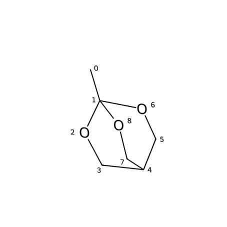 CC12OCC(CO1)CO2